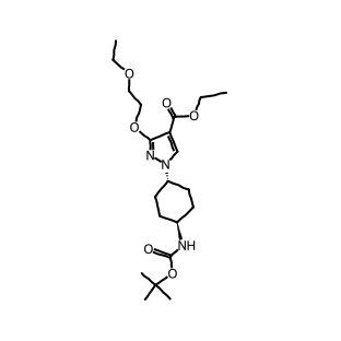 CCOCCOc1nn([C@H]2CC[C@H](NC(=O)OC(C)(C)C)CC2)cc1C(=O)OCC